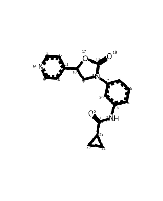 O=C(Nc1cccc(N2CC(c3ccncc3)OC2=O)c1)C1CC1